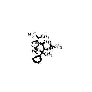 BC(=O)N[C@H](C(=O)N1C(=O)OC[C@@H]1C(C)C)C(C)(C)c1ccccc1